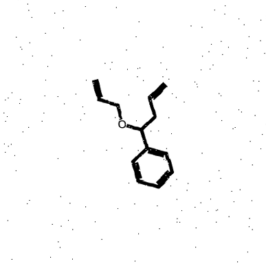 C=CCOC(CC=C)c1ccccc1